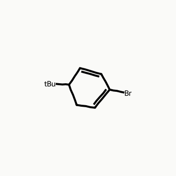 CC(C)(C)C1C=CC(Br)=CC1